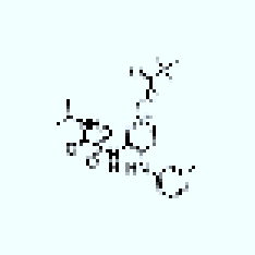 Cc1cccc(Nc2cc[n+](COC(=O)C(C)(C)C)cc2NS(=O)(=O)C(=O)NC(C)C)c1